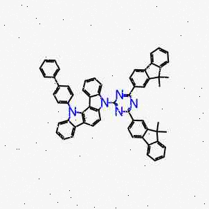 CC1(C)c2ccccc2-c2ccc(-c3nc(-c4ccc5c(c4)C(C)(C)c4ccccc4-5)nc(-n4c5ccccc5c5c4ccc4c6ccccc6n(-c6ccc(-c7ccccc7)cc6)c45)n3)cc21